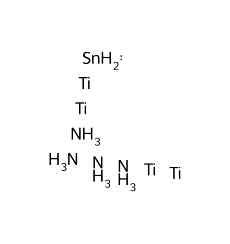 N.N.N.N.[SnH2].[Ti].[Ti].[Ti].[Ti]